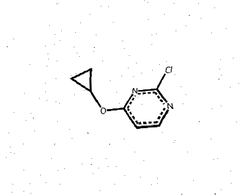 Clc1nccc(OC2CC2)n1